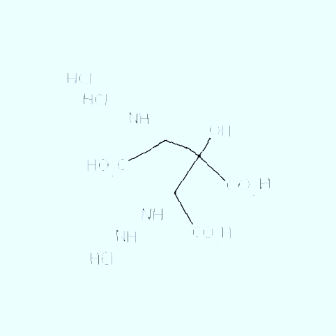 Cl.Cl.Cl.N.N.N.O=C(O)CC(O)(CC(=O)O)C(=O)O